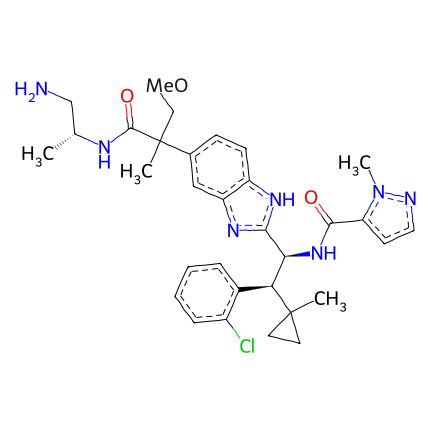 COCC(C)(C(=O)N[C@H](C)CN)c1ccc2[nH]c([C@@H](NC(=O)c3ccnn3C)[C@H](c3ccccc3Cl)C3(C)CC3)nc2c1